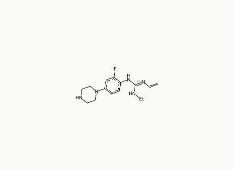 C=C/N=C(\NCC)Nc1ccc(N2CCNCC2)cc1F